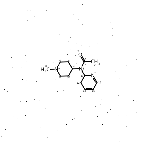 CC(=O)N(C1CCN(C)CC1)C1CC=CC=N1